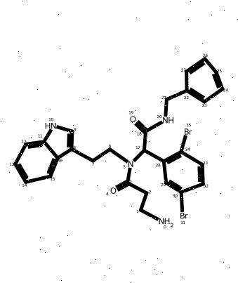 NCCC(=O)N(CCc1c[nH]c2ccccc12)C(C(=O)NCc1ccccc1)c1cc(Br)ccc1Br